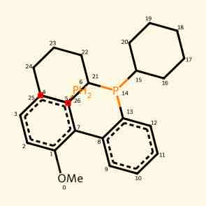 COc1cccc(P)c1-c1ccccc1P(C1CCCCC1)C1CCCCC1